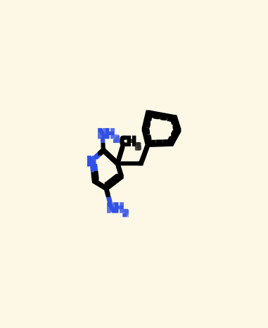 CC1(Cc2ccccc2)C=C(N)C=NC1N